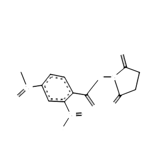 O=C(ON1C(=O)CCC1=O)c1ccc([N+](=O)[O-])cc1[N+](=O)[O-]